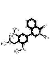 COc1cc(-c2cn(C)c(=O)c3ccccc23)cc(OC)c1CN(C)C